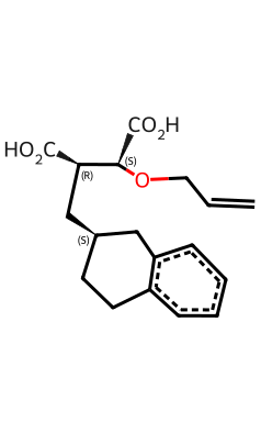 C=CCO[C@H](C(=O)O)[C@@H](C[C@@H]1CCc2ccccc2C1)C(=O)O